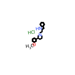 COc1cccc(C2CCCN(CCc3cc4ccccc4[nH]3)C2)c1.Cl